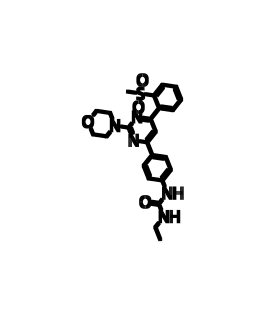 CCNC(=O)Nc1ccc(-c2cc(-c3ccccc3S(C)(=O)=O)nc(N3CCOCC3)n2)cc1